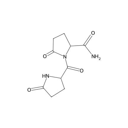 NC(=O)C1CCC(=O)N1C(=O)C1CCC(=O)N1